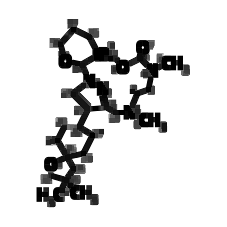 CN(CCN(C)C(=O)OC(C)(C)C)Cc1nn(C2CCCCO2)cc1C1CCC2(CC1)CC(C)(C)CO2